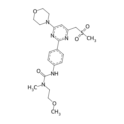 COCCN(C)C(=O)Nc1ccc(-c2nc(CS(C)(=O)=O)cc(N3CCOCC3)n2)cc1